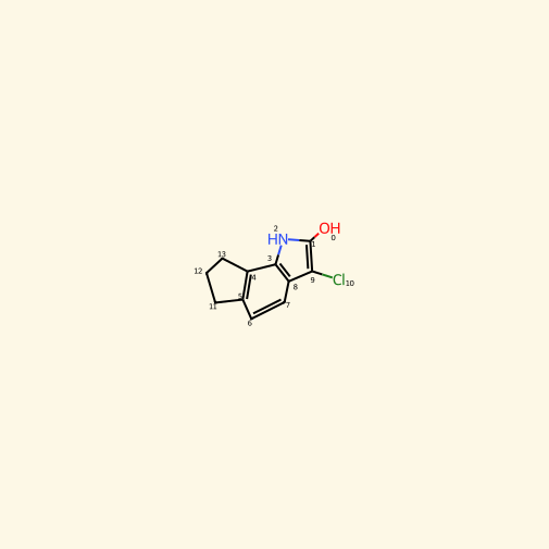 Oc1[nH]c2c3c(ccc2c1Cl)CCC3